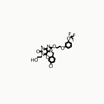 Cn1c(=O)n(CCO)c(=O)c2c1nc(OCCOc1cccc(OC(F)(F)I)c1)n2Cc1ccc(Cl)cc1